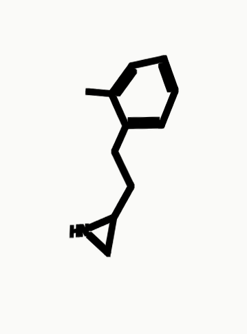 Cc1ccccc1CCC1CN1